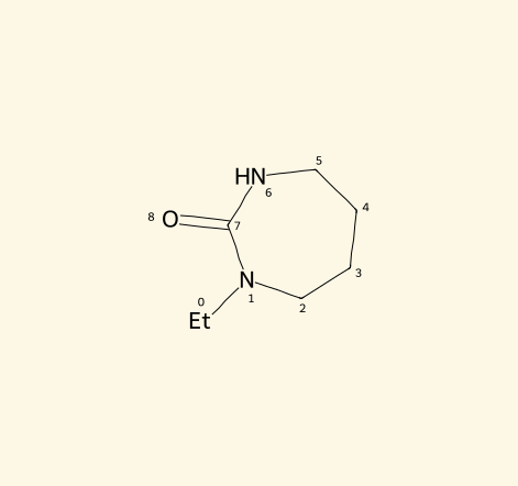 CCN1CCCCNC1=O